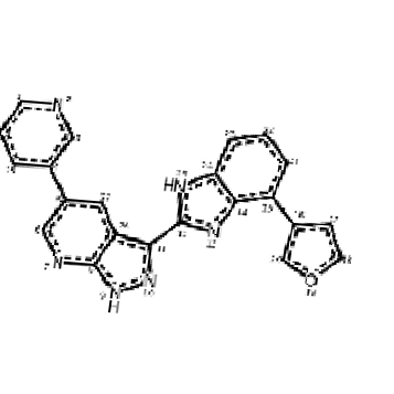 c1cncc(-c2cnc3[nH]nc(-c4nc5c(-c6ccoc6)cccc5[nH]4)c3c2)c1